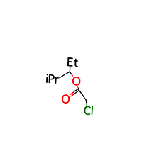 CCC(OC(=O)CCl)C(C)C